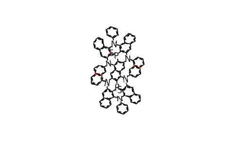 S=P12c3c4cc5ccccc5c3N(c3ccccc3)c3c1c(cc1ccccc31)N(c1ccccc1)c1c2c(cc2c3c5c(cc12)N(c1ccccc1)c1cc2ccccc2c2c1P5(=S)c1c(cc5ccccc5c1N2c1ccccc1)N3c1ccccc1)N4c1ccccc1